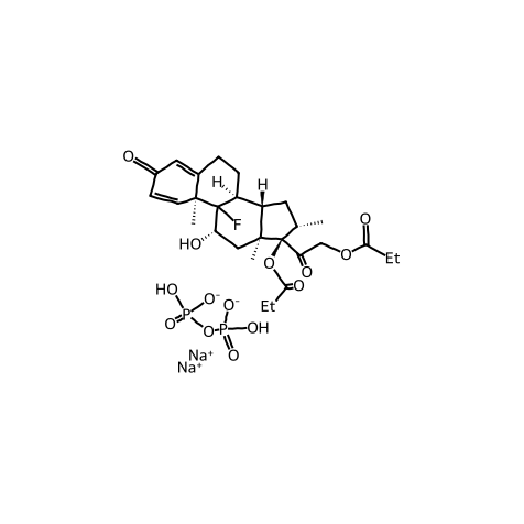 CCC(=O)OCC(=O)[C@@]1(OC(=O)CC)[C@@H](C)C[C@H]2[C@@H]3CCC4=CC(=O)C=C[C@]4(C)C3(F)[C@@H](O)C[C@@]21C.O=P([O-])(O)OP(=O)([O-])O.[Na+].[Na+]